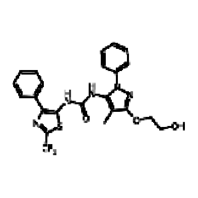 Cc1c(OCCO)nn(-c2ccccc2)c1NC(=O)Nc1sc(C(F)(F)F)nc1-c1ccccc1